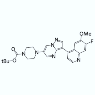 COc1cc2c(-c3cnn4cc(N5CCN(C(=O)OC(C)(C)C)CC5)cnc34)ccnc2cc1F